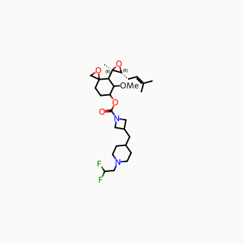 COC1C(OC(=O)N2CC(CC3CCN(CC(F)F)CC3)C2)CCC2(CO2)C1[C@@]1(C)O[C@@H]1CC=C(C)C